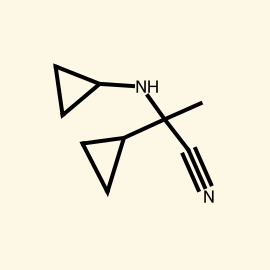 CC(C#N)(NC1CC1)C1CC1